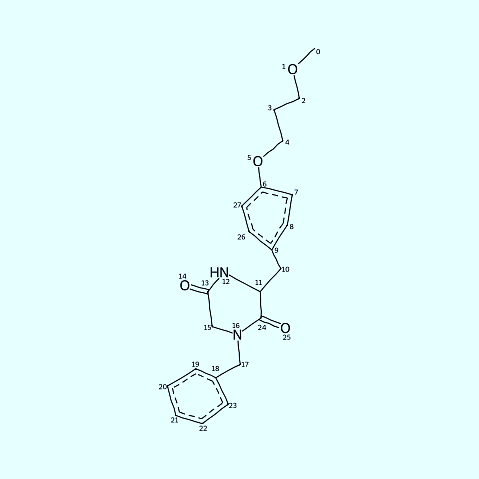 COCCCOc1ccc(CC2NC(=O)CN(Cc3ccccc3)C2=O)cc1